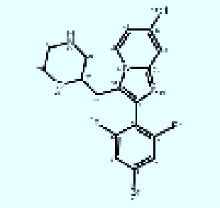 Fc1cc(Br)cc(F)c1-c1nc2cc(Cl)ccn2c1CC1CNCCO1